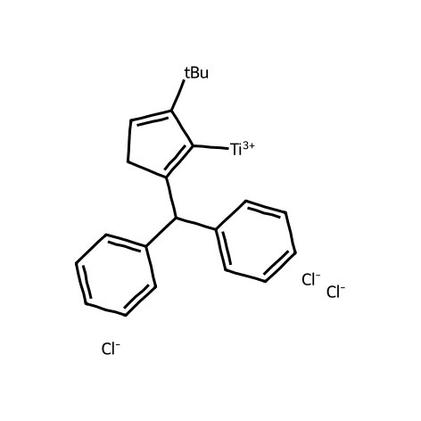 CC(C)(C)C1=CCC(C(c2ccccc2)c2ccccc2)=[C]1[Ti+3].[Cl-].[Cl-].[Cl-]